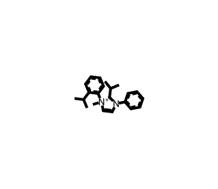 CC(C)c1ccccc1[N+]1(C)C=CN(c2ccccc2)C1C(C)C